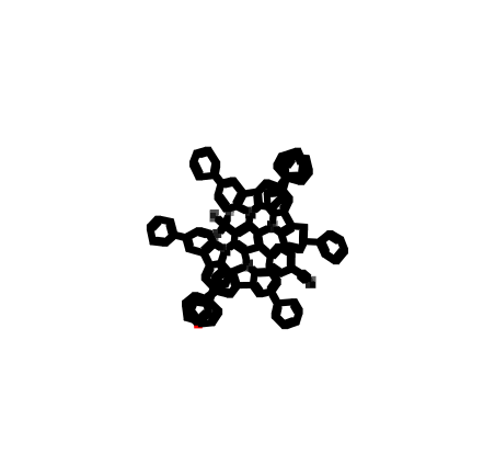 N#Cc1ccc(-c2c(-n3c4ccc(-c5ccccc5)cc4c4cc(-c5ccccc5)ccc43)c(-n3c4c(c5cc(-c6ccccc6)ccc53)C=C(c3ccccc3)CC4)c(C(F)(F)F)c(-n3c4ccc(-c5ccccc5)cc4c4cc(-c5ccccc5)ccc43)c2-n2c3ccc(-c4ccccc4)cc3c3cc(-c4ccccc4)ccc32)cc1